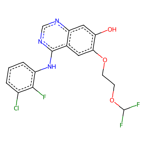 Oc1cc2ncnc(Nc3cccc(Cl)c3F)c2cc1OCCOC(F)F